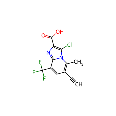 C#Cc1cc(C(F)(F)F)c2nc(C(=O)O)c(Cl)n2c1C